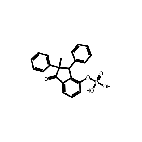 CC1(c2ccccc2)C(=O)c2cccc(OP(=O)(O)O)c2C1c1ccccc1